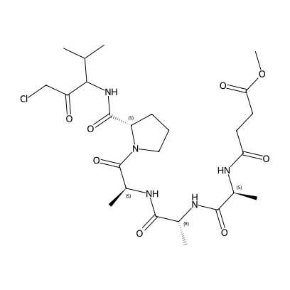 COC(=O)CCC(=O)N[C@@H](C)C(=O)N[C@H](C)C(=O)N[C@@H](C)C(=O)N1CCC[C@H]1C(=O)NC(C(=O)CCl)C(C)C